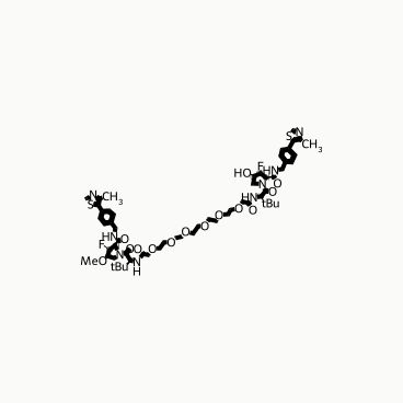 CO[C@H]1CN(C(=O)[C@@H](NC(=O)COCCOCCOCCOCCOCCOCC(=O)N[C@H](C(=O)N2C[C@H](O)[C@H](F)[C@H]2C(=O)NCc2ccc(-c3scnc3C)cc2)C(C)(C)C)C(C)(C)C)[C@H](C(=O)NCc2ccc(-c3scnc3C)cc2)[C@H]1F